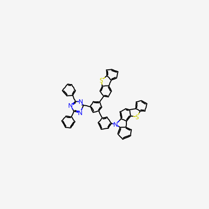 c1ccc(-c2nc(-c3ccccc3)nc(-c3cc(-c4cccc(-n5c6ccccc6c6c7sc8ccccc8c7ccc65)c4)cc(-c4ccc5c(c4)sc4ccccc45)c3)n2)cc1